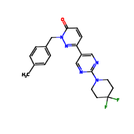 Cc1ccc(Cn2nc(-c3cnc(N4CCC(F)(F)CC4)nc3)ccc2=O)cc1